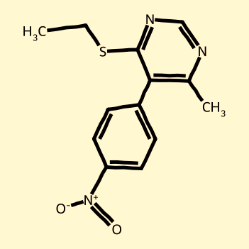 CCSc1ncnc(C)c1-c1ccc([N+](=O)[O-])cc1